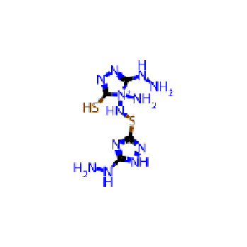 NNC1=NN=C(S)[N+]1(N)NSc1n[nH]c(NN)n1